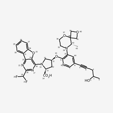 CC(O)CC#Cc1cnc(O[C@H]2C[C@@H](C(=O)O)N(c3nc(C(F)F)nc4c3oc3ccccc34)C2)c(N2CCOC3(COC3)[C@@H]2C)c1